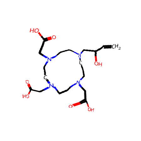 C=CC(O)CN1CCN(CC(=O)O)CCN(CC(=O)O)CCN(CC(=O)O)CC1